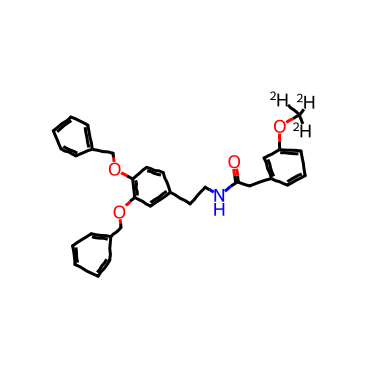 [2H]C([2H])([2H])Oc1cccc(CC(=O)NCCc2ccc(OCc3ccccc3)c(OCc3ccccc3)c2)c1